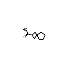 O=C(O)N1CC2(CCCC2)C1